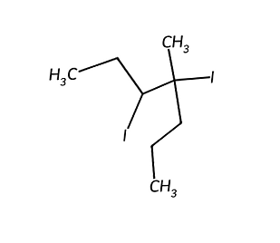 CCCC(C)(I)C(I)CC